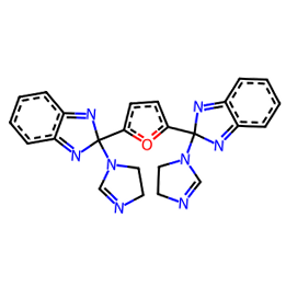 C1=NCCN1C1(c2ccc(C3(N4C=NCC4)N=c4ccccc4=N3)o2)N=c2ccccc2=N1